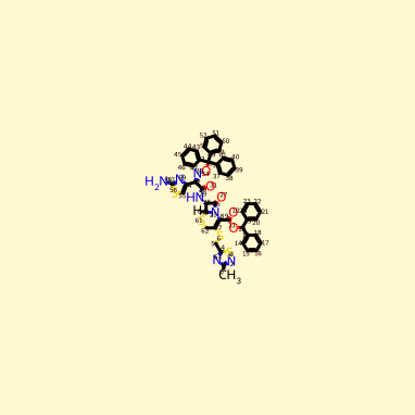 Cc1nsc(CSC2=C(C(=O)OC(c3ccccc3)c3ccccc3)N3C(=O)[C@@H](NC(=O)/C(=N\OC(c4ccccc4)(c4ccccc4)c4ccccc4)c4csc(N)n4)[C@H]3SC2)n1